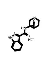 Cl.O=C(NC1CN2CCC1CC2)c1n[nH]c2ccccc12